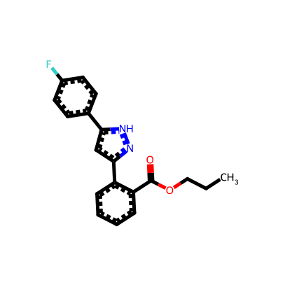 CCCOC(=O)c1ccccc1-c1cc(-c2ccc(F)cc2)[nH]n1